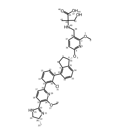 COc1nc(O[C@H]2CCc3c(-c4cccc(-c5ccc(C6=N[C@H](C)CN6)c(OC)n5)c4Cl)cccc32)ccc1CNC(C)(CO)C(=O)O